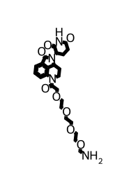 NCOCCOCCOCCOCC(=O)N1CCC2c3c(cccc31)C(=O)N2C1CCC(=O)NC1=O